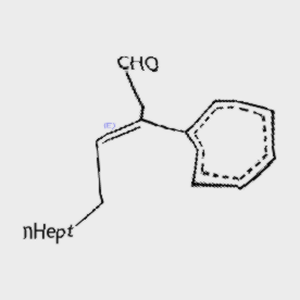 CCCCCCCC/C=C(/C=O)c1ccccc1